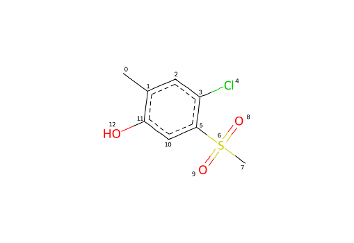 Cc1cc(Cl)c(S(C)(=O)=O)cc1O